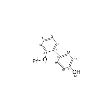 CC(C)Oc1ccccc1-c1ccc(O)cc1